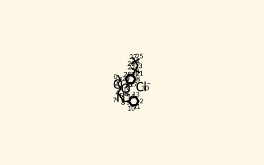 CCOC(C[N+](C)(C)Cc1ccccc1)Oc1ccc(C(C)(C)CC(C)(C)C)cc1.[Cl-]